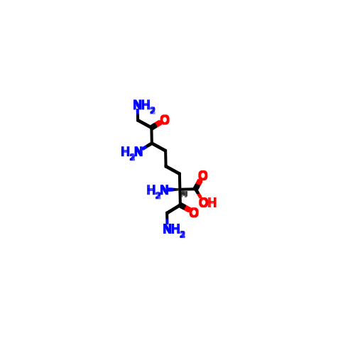 NCC(=O)C(N)CCC[C@](N)(C(=O)O)C(=O)CN